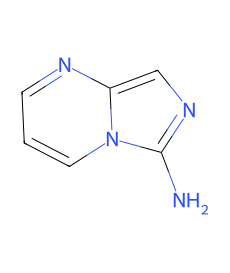 Nc1ncc2ncccn12